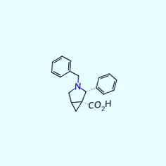 O=C(O)[C@]12CC1CN(Cc1ccccc1)[C@@H]2c1ccccc1